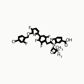 CC1(C)COC[C@H]1n1c(Cc2c(F)cc(-c3ccc(F)c(OCc4ccc(Cl)cc4F)n3)c(F)c2F)nc2ccc(C(=O)O)cc21